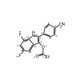 CCC(=O)Oc1c(-c2ccc(C#N)cc2)[nH]c2c(F)cc(F)cc12